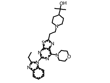 CCc1nc2ccccc2n1-c1nc(N2CCOCC2)c2nc(CCN3CCC(C(C)(C)O)CC3)sc2n1